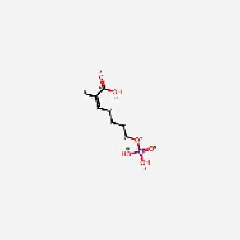 CC(=CCCCCOP(=O)(O)O)C(=O)O